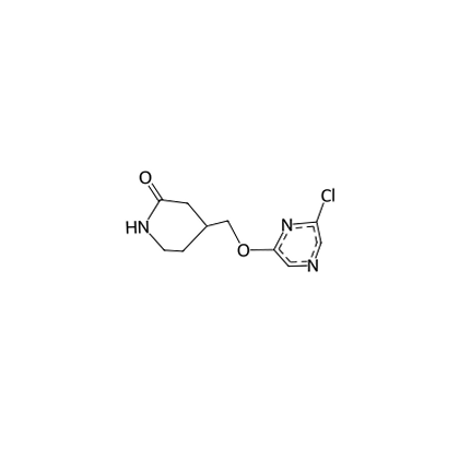 O=C1CC(COc2cncc(Cl)n2)CCN1